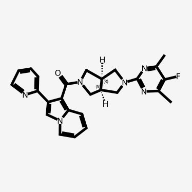 Cc1nc(N2C[C@H]3CN(C(=O)c4c(-c5ccccn5)cn5ccccc45)C[C@H]3C2)nc(C)c1F